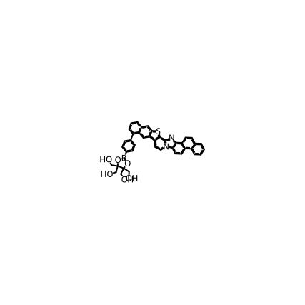 OCC1(CO)OB(c2ccc(-c3cccc4cc5sc6c(ccn7c8ccc9c%10ccccc%10ccc9c8nc67)c5cc34)cc2)OC1(CO)CO